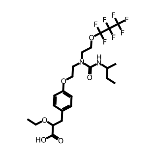 CCOC(Cc1ccc(OCCN(CCOC(F)(F)C(F)(F)C(F)(F)F)C(=O)NC(C)CC)cc1)C(=O)O